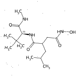 CNC(=O)[C@@H](NC(=O)C(CC(=O)NO)CC(C)C)C(C)(C)C